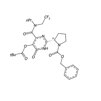 CCCN(CC(F)(F)F)C(=O)c1nc([C@@H]2CCCN2C(=O)OCc2ccccc2)[nH]c(=O)c1OC(=O)C(C)(C)C